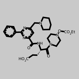 CCOC(=O)ON1CCN(C(=O)[C@H](CCC(=O)O)NC(=O)c2cc(CN3CCCCC3)nc(-c3ccccc3)n2)CC1